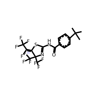 CC(C)(C)c1ccc(C(=O)NC2=NC(C(F)(F)F)(C(F)(F)F)/C(=C(\F)C(F)(F)F)S2)cc1